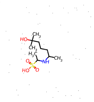 CC(CCCC(C)(C)O)NC(C)S(=O)(=O)O